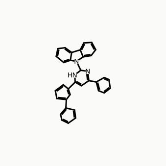 C1=C(c2cccc(-c3ccccc3)c2)NC(n2c3ccccc3c3ccccc32)N=C1c1ccccc1